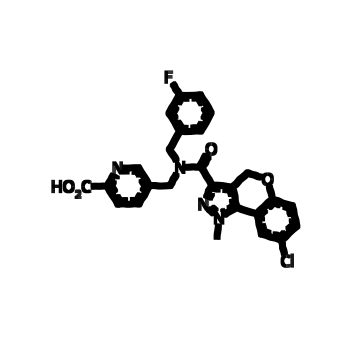 Cn1nc(C(=O)N(Cc2ccc(C(=O)O)nc2)Cc2cccc(F)c2)c2c1-c1cc(Cl)ccc1OC2